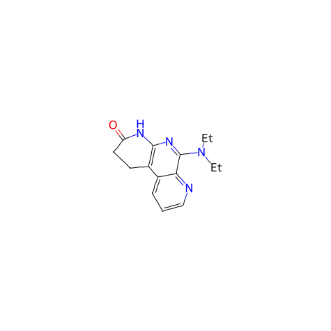 CCN(CC)c1nc2c(c3cccnc13)CCC(=O)N2